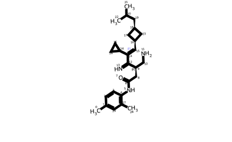 Cc1ccc(NC(=O)C[C@H](CN)C(=N)/C(=C/[C@H]2C[C@@H](CC(C)C)C2)C2CC2)c(C)c1